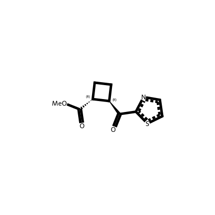 COC(=O)[C@@H]1CC[C@H]1C(=O)c1nccs1